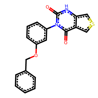 O=c1[nH]c2cscc2c(=O)n1-c1cccc(OCc2ccccc2)c1